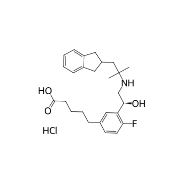 CC(C)(CC1Cc2ccccc2C1)NC[C@@H](O)c1cc(CCCCC(=O)O)ccc1F.Cl